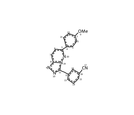 COc1ccc(-c2ccc3nnc(-c4cccc(C#N)c4)n3n2)cc1